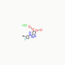 C#Cc1cc(Nc2ncnc3cc(OCCOC)c(OCCOC)cc23)ccc1F.Cl